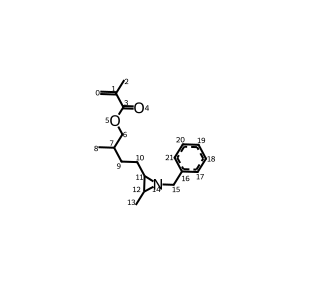 C=C(C)C(=O)OCC(C)CCC1C(C)N1Cc1ccccc1